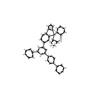 c1ccc(-c2ccc(-c3cc(-c4ccc5c(c4)C4(c6ccccc6Oc6ccccc64)c4ccccc4-5)nc(-c4ccccc4)n3)cc2)cc1